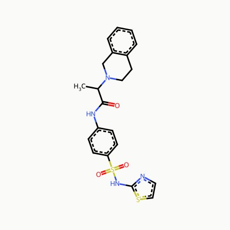 CC(C(=O)Nc1ccc(S(=O)(=O)Nc2nccs2)cc1)N1CCc2ccccc2C1